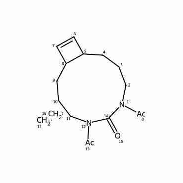 CC(=O)N1CCCC2C=CC2CCCN(C(C)=O)C1=O.[CH2].[CH2]